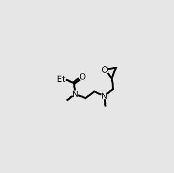 CCC(=O)N(C)CCN(C)CC1CO1